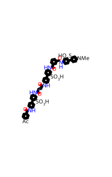 CNc1ccc(-c2ccc(NC(=O)c3cccc(C(=O)Nc4ccc(-c5ccc(NC(=O)/C=C/C(=O)Nc6ccc(-c7ccc(NC(=O)c8ccc(C(C)=O)cc8)cc7)c(S(=O)(=O)O)c6)cc5)c(S(=O)(=O)O)c4)c3)cc2)c(S(=O)(=O)O)c1